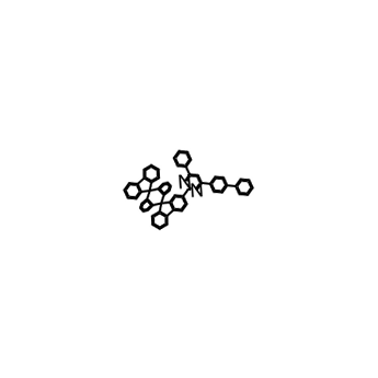 c1ccc(-c2ccc(-c3cc(-c4ccccc4)nc(-c4ccc5c(c4)C4(c6ccccc6-5)c5ccccc5C5(c6ccccc6-c6ccccc65)c5ccccc54)n3)cc2)cc1